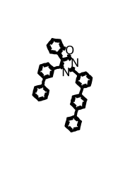 c1ccc(-c2ccc(-c3cccc(-c4nc(-c5cccc(-c6ccccc6)c5)c5c(n4)oc4ccccc45)c3)cc2)cc1